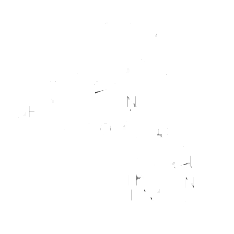 CN1CCN[C@H]2C[C@H](C(=O)N3CCc4ccccc4[C@@H]3c3ccc(F)cc3)OC[C@@H]21